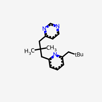 CC(C)(C)Cc1cccc(CC(C)(C)Cc2ccncn2)n1